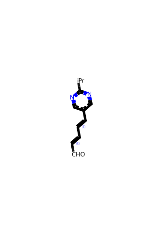 CC(C)c1ncc(/C=C/C=C/C=O)cn1